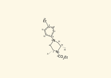 CCOC(=O)N1[C@H](C)CN(c2ccc(CC)cc2)C[C@@H]1C